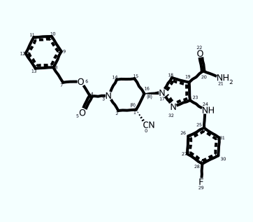 N#C[C@@H]1CN(C(=O)OCc2ccccc2)CC[C@H]1n1cc(C(N)=O)c(Nc2ccc(F)cc2)n1